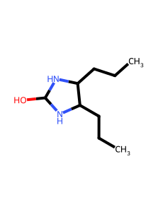 CCCC1NC(O)NC1CCC